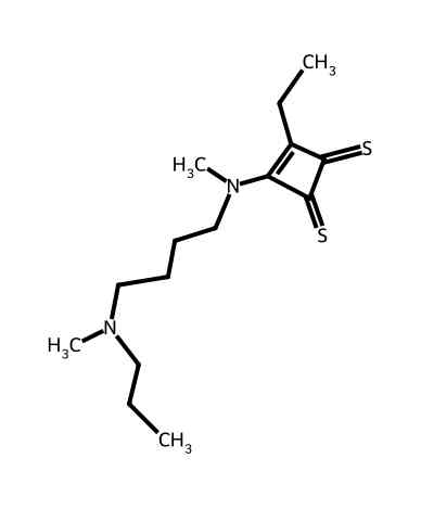 CCCN(C)CCCCN(C)c1c(CC)c(=S)c1=S